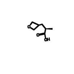 C[C@H](CC1COC1)C(=O)O